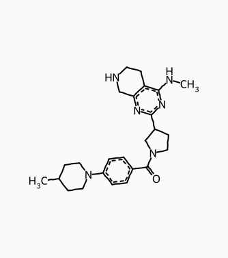 CNc1nc(C2CCN(C(=O)c3ccc(N4CCC(C)CC4)cc3)C2)nc2c1CCNC2